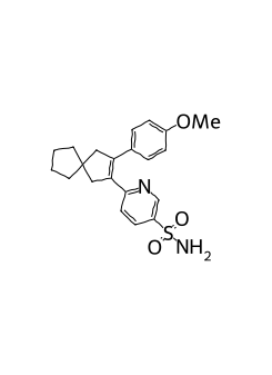 COc1ccc(C2=C(c3ccc(S(N)(=O)=O)cn3)CC3(CCCC3)C2)cc1